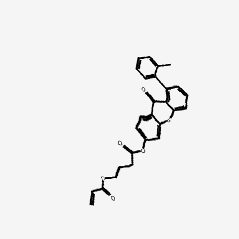 C=CC(=O)OCCCC(=O)Oc1ccc2c(=O)c3c(-c4ccccc4C)cccc3sc2c1